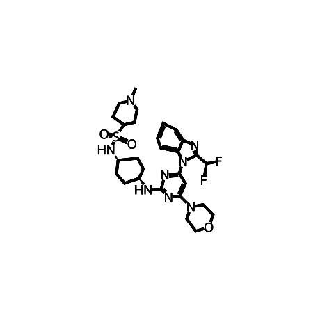 CN1CCC(S(=O)(=O)N[C@H]2CC[C@H](Nc3nc(N4CCOCC4)cc(-n4c(C(F)F)nc5ccccc54)n3)CC2)CC1